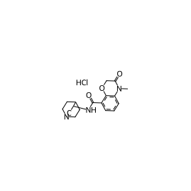 CN1C(=O)COc2c(C(=O)NC3CN4CCC3CC4)cccc21.Cl